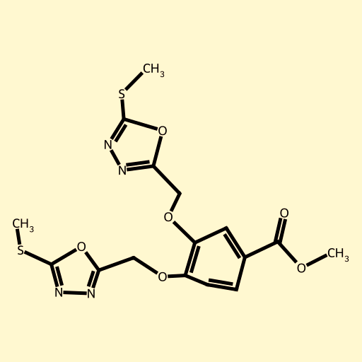 COC(=O)c1ccc(OCc2nnc(SC)o2)c(OCc2nnc(SC)o2)c1